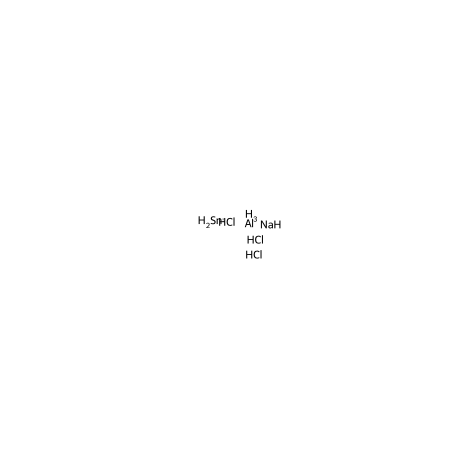 Cl.Cl.Cl.[AlH3].[NaH].[SnH2]